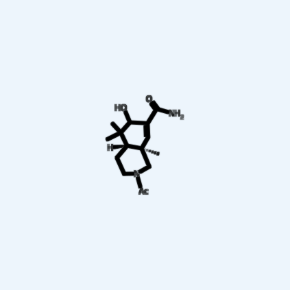 CC(=O)N1CC[C@@H]2C(C)(C)C(O)C(C(N)=O)=C[C@@]2(C)C1